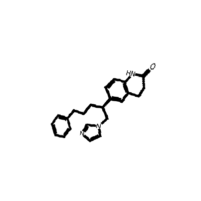 O=C1CCc2cc(C(CCCc3ccccc3)Cn3ccnc3)ccc2N1